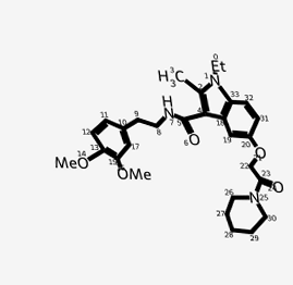 CCn1c(C)c(C(=O)NCCc2ccc(OC)c(OC)c2)c2cc(OCC(=O)N3CCCCC3)ccc21